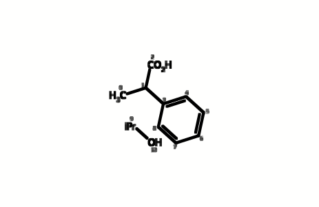 CC(C(=O)O)c1ccccc1.CC(C)O